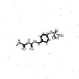 CNC(=O)NC(=O)OCc1ccc(OP(=O)(O)O)cc1